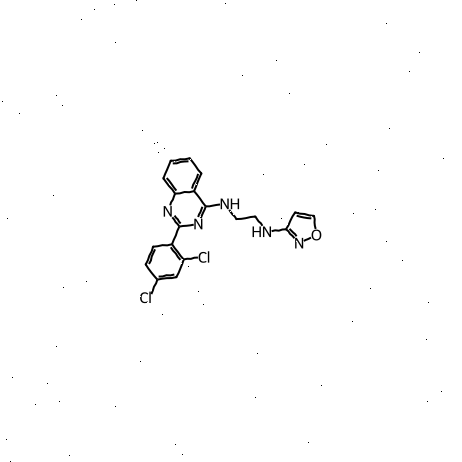 Clc1ccc(-c2nc(NCCNc3ccon3)c3ccccc3n2)c(Cl)c1